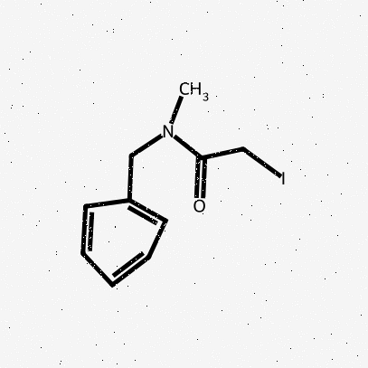 CN(Cc1ccccc1)C(=O)CI